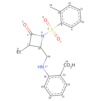 CCC1C(=O)N(S(=O)(=O)c2ccccc2C)C1CNc1ccccc1C(=O)O